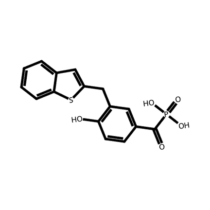 O=C(c1ccc(O)c(Cc2cc3ccccc3s2)c1)P(=O)(O)O